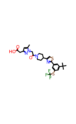 Cc1cc(CC(=O)O)nn1CC(=O)N1CCC(c2csc(-c3cc(SC(F)(F)F)cc(C(C)(C)C)c3)n2)CC1